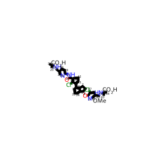 COc1nc(O[C@H]2CCc3c(-c4cccc(C(=O)Nc5ccc(CNC(C)(C)C(=O)O)cn5)c4Cl)cccc32)c(Cl)cc1CNC(C)(C)C(=O)O